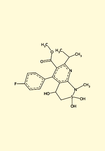 COC(=O)c1c(C(C)C)nc2c(c1-c1ccc(F)cc1)C(O)CS(O)(O)N2C